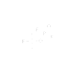 CC(C)(F)OP(=O)(F)F